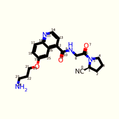 N#C[C@@H]1CCCN1C(=O)CNC(=O)c1ccnc2ccc(OCCCN)cc12